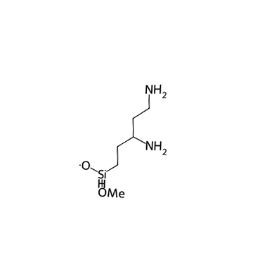 CO[SiH]([O])CCC(N)CCN